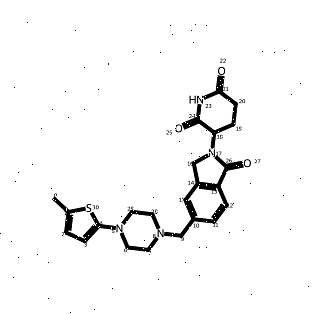 Cc1ccc(N2CCN(Cc3ccc4c(c3)CN(C3CCC(=O)NC3=O)C4=O)CC2)s1